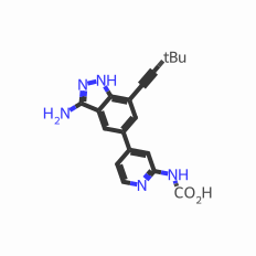 CC(C)(C)C#Cc1cc(-c2ccnc(NC(=O)O)c2)cc2c(N)n[nH]c12